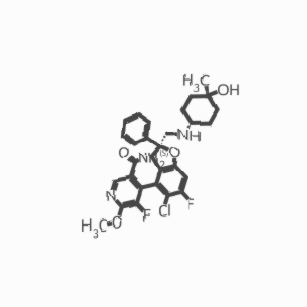 COc1ncc(C(N)=O)c(-c2c(Cl)c(F)cc3c2C[C@@](CN[C@H]2CC[C@@](C)(O)CC2)(c2ccccc2)O3)c1F